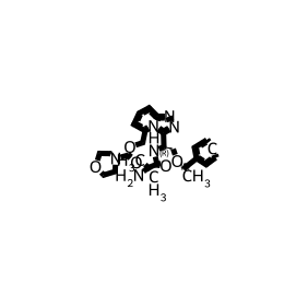 C[C@H](OC[C@H](NC(=O)C(C)(C)N)c1nnc2cccc(COC(=O)N3CCOCC3)n12)c1ccccc1